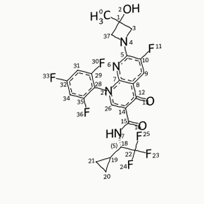 CC1(O)CN(c2nc3c(cc2F)c(=O)c(C(=O)N[C@@H](C2CC2)C(F)(F)F)cn3-c2c(F)cc(F)cc2F)C1